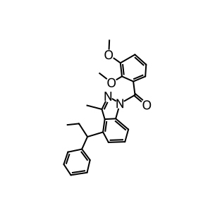 CCC(c1ccccc1)c1cccc2c1c(C)nn2C(=O)c1cccc(OC)c1OC